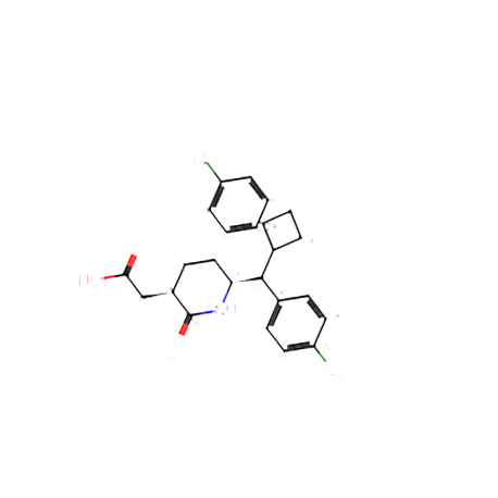 O=C(O)C[C@H]1C[C@H](c2cccc(Cl)c2)[C@@H](C(c2ccc(Cl)cc2)C2CCC2)NC1=O